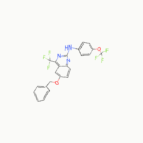 FC(F)(F)Oc1ccc(Nc2nc(C(F)(F)F)c3cc(OCc4ccccc4)ccc3n2)cc1